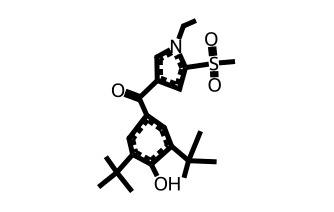 CCn1cc(C(=O)c2cc(C(C)(C)C)c(O)c(C(C)(C)C)c2)cc1S(C)(=O)=O